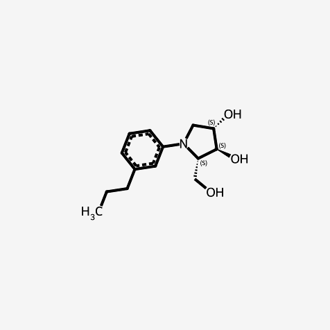 CCCc1cccc(N2C[C@H](O)[C@@H](O)[C@@H]2CO)c1